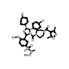 CCOc1ccc(S(=O)(=O)N(C)OC)cc1C1=N[C@@H](c2ccc(Cl)cc2)[C@@H](c2ccc(Cl)cc2)N1C(=O)N1CCN(C(=O)c2c(C)noc2C)CC1